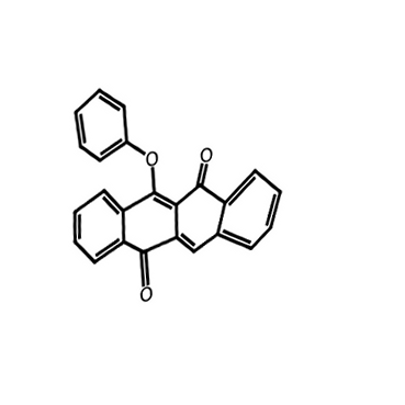 O=C1C2=C(Oc3ccccc3)c3ccccc3C(=O)C2=Cc2ccccc21